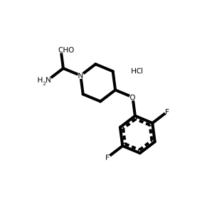 Cl.NC(C=O)N1CCC(Oc2cc(F)ccc2F)CC1